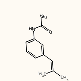 CC(C)=Cc1cccc(NC(=O)C(C)(C)C)c1